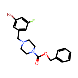 O=C(OCc1ccccc1)N1CCN(Cc2cc(F)cc(Br)c2)CC1